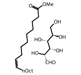 CCCCCCCC/C=C\CCCCCCCC(=O)OC.O=C[C@H](O)[C@@H](O)[C@H](O)[C@H](O)CO